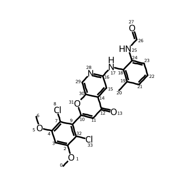 COc1cc(OC)c(Cl)c(-c2cc(=O)c3cc(Nc4c(C)cccc4NC=O)ncc3o2)c1Cl